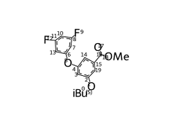 CC[C@H](C)Oc1cc(Oc2cc(F)cc(F)c2)cc(C(=O)OC)c1